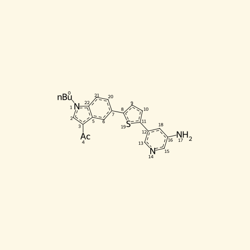 CCCCn1cc(C(C)=O)c2cc(-c3ccc(-c4cncc(N)c4)s3)ccc21